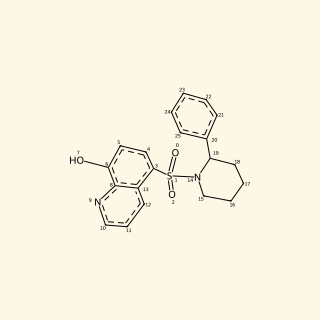 O=S(=O)(c1ccc(O)c2ncccc12)N1CCCCC1c1ccccc1